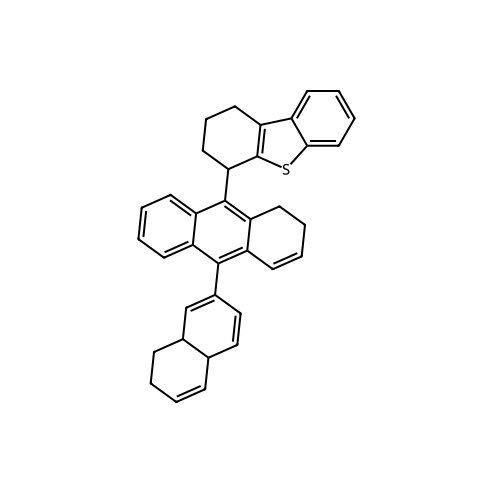 C1=Cc2c(c(C3CCCc4c3sc3ccccc43)c3ccccc3c2C2=CC3CCC=CC3C=C2)CC1